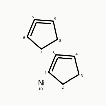 C1=CCCC=1.C1=CCCC=1.[Ni]